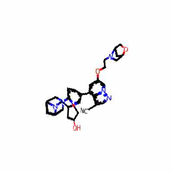 N#Cc1cnn2cc(OCCN3CC4CC3CO4)cc(-c3ccc(N4CC5CC(C4)N5CC4CC[C@@H](O)C4)nc3)c12